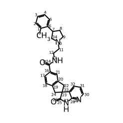 Cc1ccccc1C1CCN(CCNC(=O)c2ccc3c(c2)CC2(C3)C(=O)Nc3ncccc32)C1